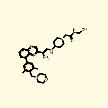 N/C(=C\NC1CCN(CC(=O)NCO)CC1)c1cnc2cccc(-c3cc(F)c(CN4CCOCC4)c(F)c3)c2n1